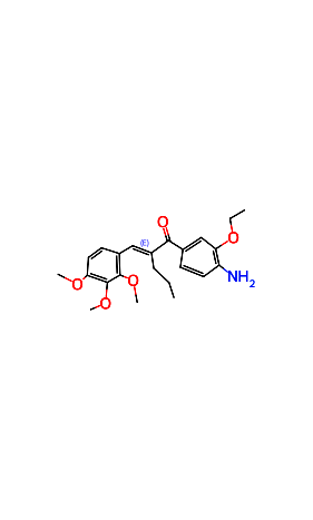 CCC/C(=C\c1ccc(OC)c(OC)c1OC)C(=O)c1ccc(N)c(OCC)c1